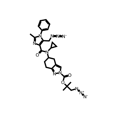 Cc1nc(C(=O)N(C2CC2)C2CCc3nn(C(=O)OC(C)(C)CN=[N+]=[N-])cc3C2)c(CN=[N+]=[N-])n1-c1ccccc1